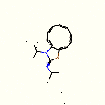 CC(C)/N=c1\sc2ccccccccc2n1C(C)C